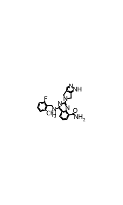 NC(=O)c1cccc2c(NCc3c(F)cccc3C(F)(F)F)nc(N3Cc4cn[nH]c4C3)nc12